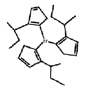 CCC(C)C1=[C]([Er]([C]2=C(C(C)CC)C=CC2)[C]2=C(C(C)CC)C=CC2)CC=C1